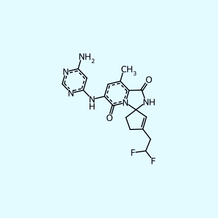 Cc1cc(Nc2cc(N)ncn2)c(=O)n2c1C(=O)NC21C=C(CC(F)F)CC1